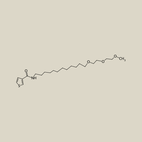 COCCOCCOCCCCCCCCCCCCNC(=O)c1ccsc1